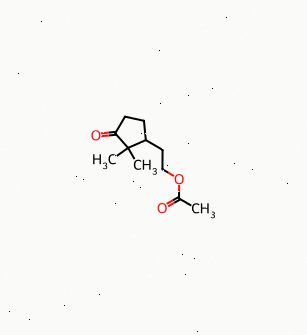 CC(=O)OCCC1CCC(=O)C1(C)C